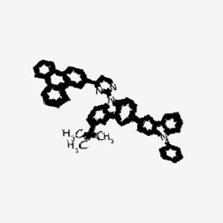 CC(C)(C)c1ccc2c(c1)c1cc(-c3ccc4c(c3)c3ccccc3n4-c3ccccc3)ccc1n2-c1nccc(-c2ccc3c4ccccc4c4ccccc4c3c2)n1